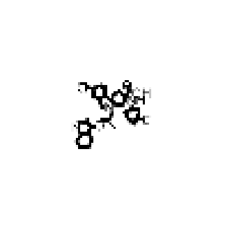 C[C@@H](COc1ccnc2c1[C@H](C)CCC2)CN1Cc2cc(Cl)ccc2C12CCC(Nc1cccc(Cl)c1)(C(=O)O)CC2